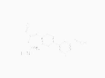 CSc1cccc(-c2ccc3c(c2)N=C(N)CC(C=O)=C3)c1